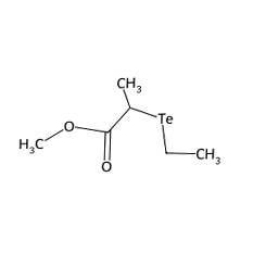 CC[Te]C(C)C(=O)OC